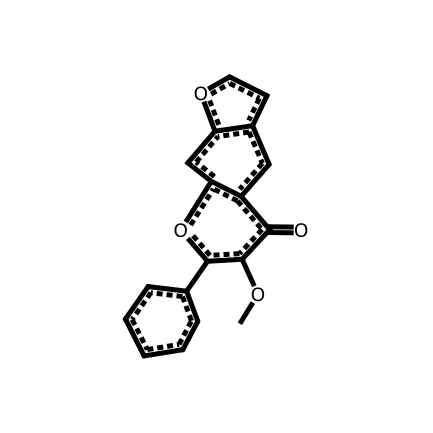 COc1c(-c2ccccc2)oc2cc3occc3cc2c1=O